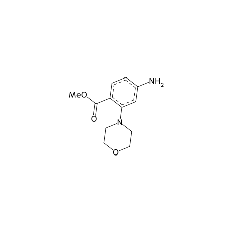 COC(=O)c1ccc(N)cc1N1CCOCC1